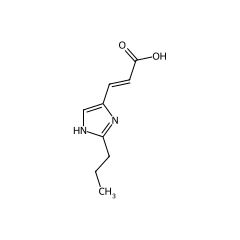 CCCc1nc(C=CC(=O)O)c[nH]1